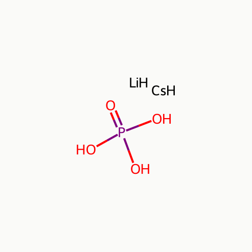 O=P(O)(O)O.[CsH].[LiH]